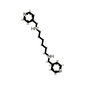 c1cc(CNCCCCCCNCc2ccncc2)ccn1